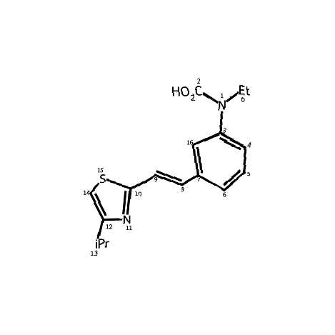 CCN(C(=O)O)c1cccc(C=Cc2nc(C(C)C)cs2)c1